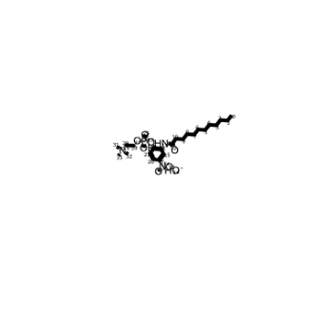 CCCCCCCCCCCC(=O)Nc1cc([N+](=O)[O-])ccc1OP(=O)(O)OCC[N+](C)(C)C.[OH-]